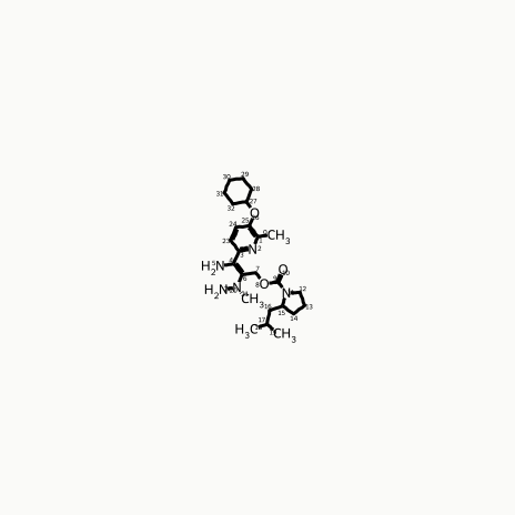 Cc1nc(/C(N)=C(\COC(=O)N2CCCC2CC(C)C)N(C)N)ccc1OC1CCCCC1